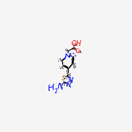 Nc1nnc(-c2cc[n+](CC(=O)O)cc2)s1